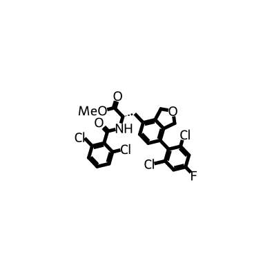 COC(=O)[C@H](Cc1ccc(-c2c(Cl)cc(F)cc2Cl)c2c1COC2)NC(=O)c1c(Cl)cccc1Cl